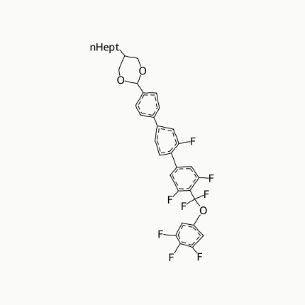 CCCCCCCC1COC(c2ccc(-c3ccc(-c4cc(F)c(C(F)(F)Oc5cc(F)c(F)c(F)c5)c(F)c4)c(F)c3)cc2)OC1